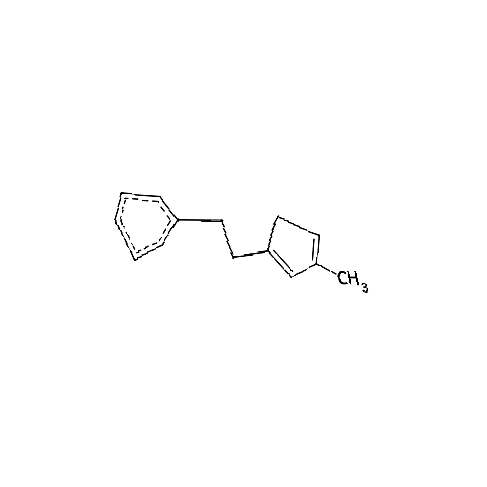 CC1=CCC(CCc2ccccc2)=C1